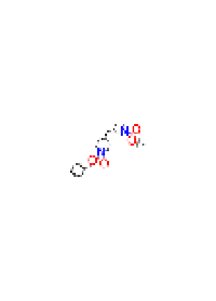 CC(C)(C)OC(=O)N1CCC(CC2CCN(C(=O)OCc3ccccc3)CC2)C1